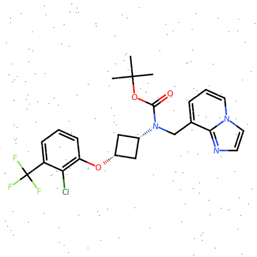 CC(C)(C)OC(=O)N(Cc1cccn2ccnc12)[C@H]1C[C@@H](Oc2cccc(C(F)(F)F)c2Cl)C1